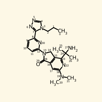 CCCn1cnnc1-c1cccc(N2Cc3c(cc(N(C)C)nc3C(C)(C)N)C2=O)n1